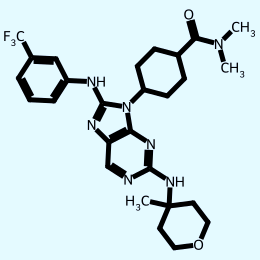 CN(C)C(=O)C1CCC(n2c(Nc3cccc(C(F)(F)F)c3)nc3cnc(NC4(C)CCOCC4)nc32)CC1